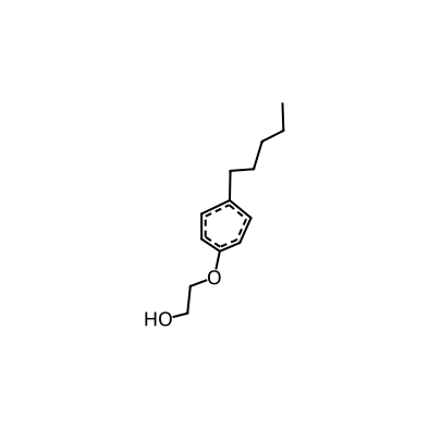 CCCCCc1ccc(OCCO)cc1